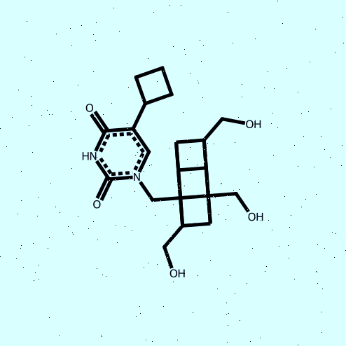 O=c1[nH]c(=O)n(CC23C4C5C6(CO)C4C2(CO)C6C53CO)cc1C1CCC1